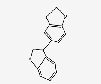 [c]1ccc2c(c1)C(c1ccc3c(c1)CCO3)CS2